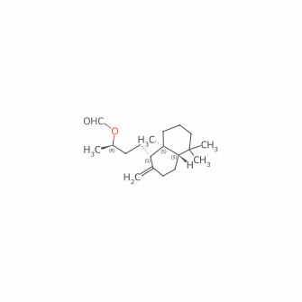 C=C1CC[C@H]2C(C)(C)CCC[C@]2(C)[C@H]1CC[C@@H](C)OC=O